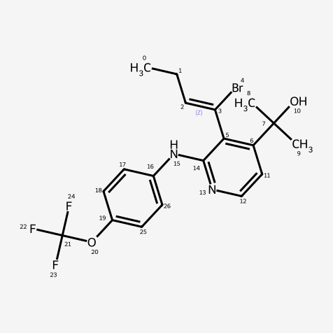 CC/C=C(\Br)c1c(C(C)(C)O)ccnc1Nc1ccc(OC(F)(F)F)cc1